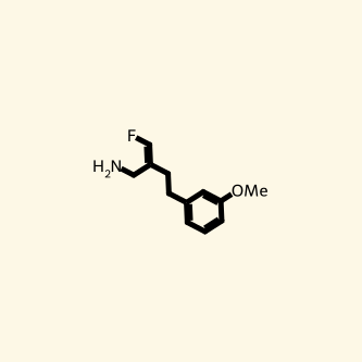 COc1cccc(CC/C(=C/F)CN)c1